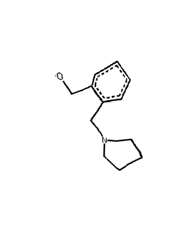 [O]Cc1ccccc1CN1CCCC1